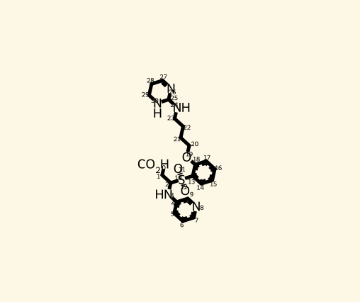 O=C(O)CC(Nc1cccnc1)S(=O)(=O)c1ccccc1OCCCCNC1N=CCCN1